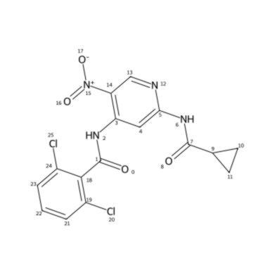 O=C(Nc1cc(NC(=O)C2CC2)ncc1[N+](=O)[O-])c1c(Cl)cccc1Cl